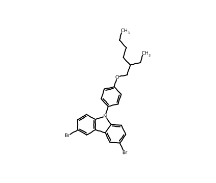 CCCCC(CC)COc1ccc(-n2c3ccc(Br)cc3c3cc(Br)ccc32)cc1